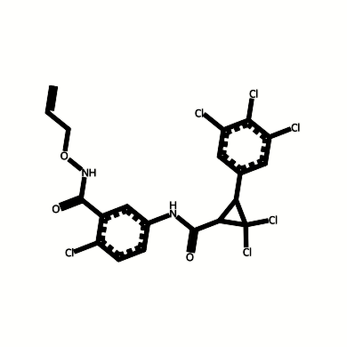 C=CCONC(=O)c1cc(NC(=O)C2C(c3cc(Cl)c(Cl)c(Cl)c3)C2(Cl)Cl)ccc1Cl